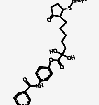 CCCCCCCS[C@H]1CCC(=O)[C@@H]1CCCCCC(O)(O)C(=O)Oc1ccc(NC(=O)c2ccccc2)cc1